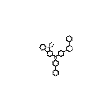 CCC1(CC)c2ccccc2-c2ccc(N(c3ccc(C4=CCCC(c5ccccc5)=C4)cc3)c3ccc(-c4ccccc4)cc3)cc21